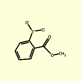 COC(=O)c1ccccc1[S+]([O-])Cl